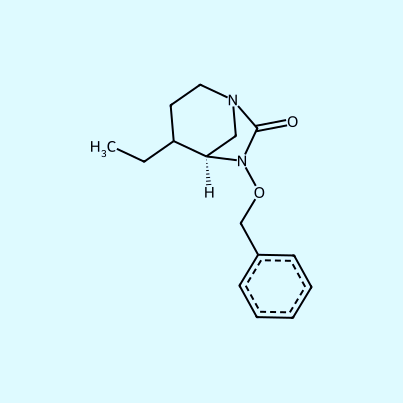 CCC1CCN2C[C@H]1N(OCc1ccccc1)C2=O